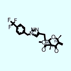 C=C1C(=O)[C@](C)(C(=O)OC)[C@@H](CCc2cn(Cc3ccc(C(F)(F)F)cc3)nn2)O[C@H]1C